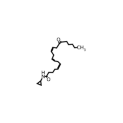 CCCCCC1OC1C/C=C\C/C=C\C/C=C\CCCC(=O)NC1CC1